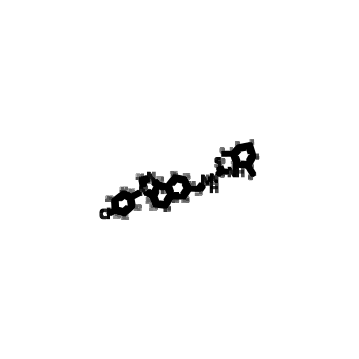 Cc1cccc(C)c1NC(=S)N/N=C/c1ccc2c(ccc3c2ncn3-c2ccc(Cl)cc2)c1